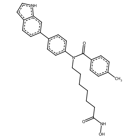 Cc1ccc(C(=O)N(CCCCCCC(=O)NO)c2ccc(-c3ccc4cc[nH]c4c3)cc2)cc1